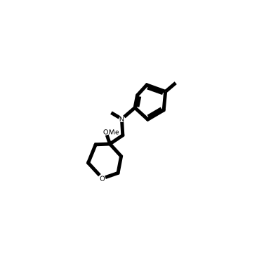 COC1(CN(C)c2ccc(C)cc2)CCOCC1